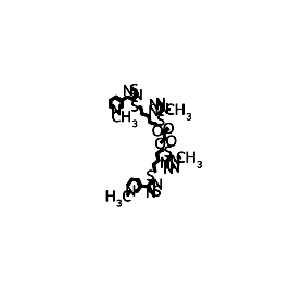 CN1CCC=C(c2nsnc2SCCCCC(OC(=O)C(=O)OC(CCCCSc2nsnc2C2=CCCN(C)C2)Sc2nnnn2C)Sc2nnnn2C)C1